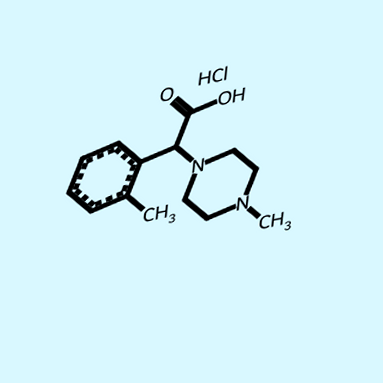 Cc1ccccc1C(C(=O)O)N1CCN(C)CC1.Cl